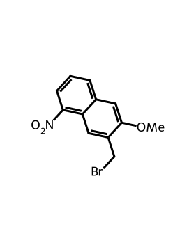 COc1cc2cccc([N+](=O)[O-])c2cc1CBr